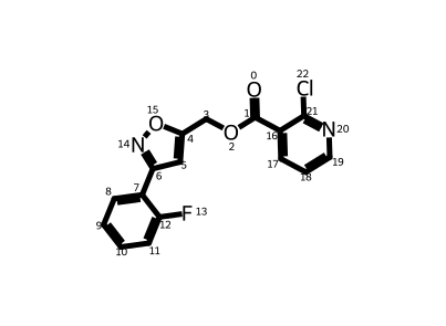 O=C(OCc1cc(-c2ccccc2F)no1)c1cccnc1Cl